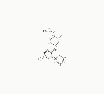 CC1CC(Nc2ccc(C(F)(F)F)cc2-c2ccccc2)CCN1CC(=O)O